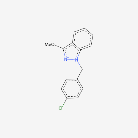 COc1nn(Cc2ccc(Cl)cc2)c2ccccc12